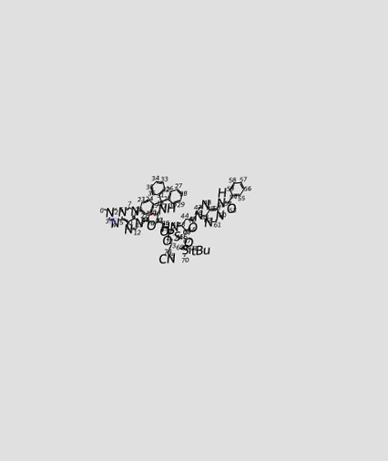 CN(C)/C=N\c1ncnc2c1ncn2[C@H]1CC(NC(c2ccccc2)(c2ccccc2)c2ccccc2)[C@@H](COP(=S)(NC2C[C@H](n3cnc4c(NC(=O)c5ccccc5)ncnc43)O[C@@H]2CO[Si](C)(C)C(C)(C)C)OCCC#N)O1